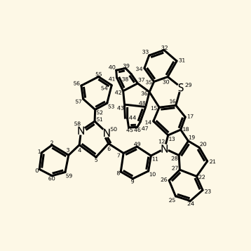 c1ccc(-c2cc(-c3cccc(-n4c5cc6c(cc5c5ccc7ccccc7c54)Sc4ccccc4C64c5ccccc5-c5ccccc54)c3)nc(-c3ccccc3)n2)cc1